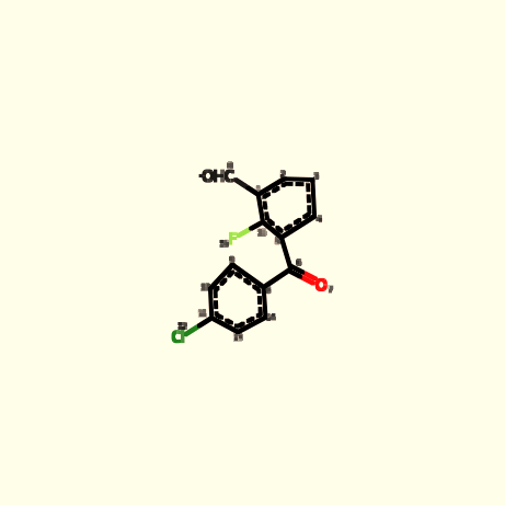 O=[C]c1cccc(C(=O)c2ccc(Cl)cc2)c1F